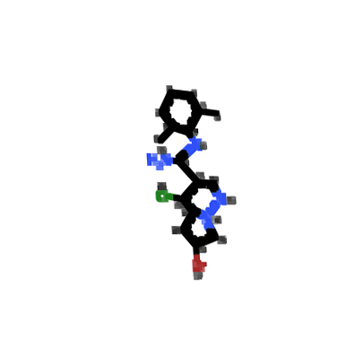 Cc1cccc(C)c1/N=C(\N)c1cnn2cc(Br)cc2c1Cl